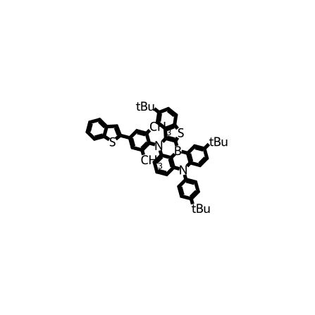 Cc1cc(-c2cc3ccccc3s2)cc(C)c1N1c2cccc3c2B(c2cc(C(C)(C)C)ccc2N3c2ccc(C(C)(C)C)cc2)c2sc3ccc(C(C)(C)C)cc3c21